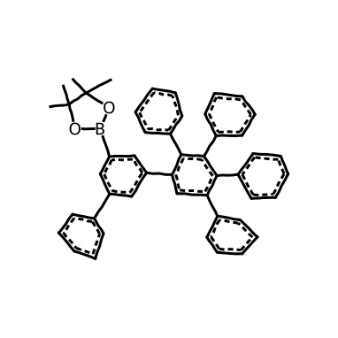 CC1(C)OB(c2cc(-c3ccccc3)cc(-c3cc(-c4ccccc4)c(-c4ccccc4)c(-c4ccccc4)c3-c3ccccc3)c2)OC1(C)C